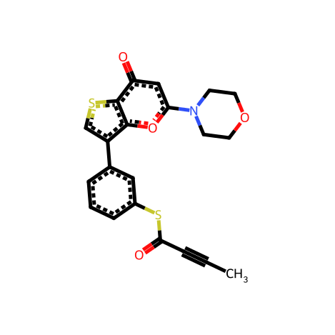 CC#CC(=O)Sc1cccc(-c2csc3c(=O)cc(N4CCOCC4)oc23)c1